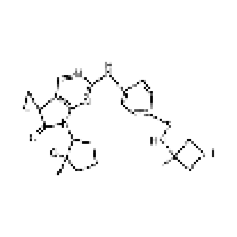 CC1(NSc2ccc(Nc3ncc4c(n3)N(C3CCC[C@]3(C)O)C(=O)C43CC3)cc2)CNC1